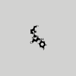 FCc1ccn(-c2nc(Cl)cc(NC3CCC(F)CC3)n2)n1